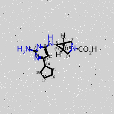 Nc1nc(N[C@@H]2[C@@H]3CN(C(=O)O)C[C@@H]32)cc(C2CCCC2)n1